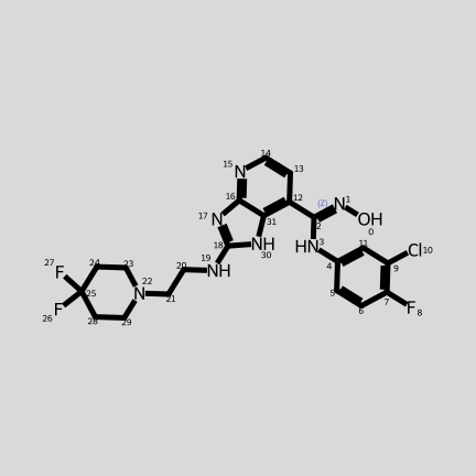 O/N=C(\Nc1ccc(F)c(Cl)c1)c1ccnc2nc(NCCN3CCC(F)(F)CC3)[nH]c12